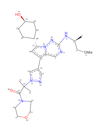 COC[C@H](C)Nc1ncc2c(-c3cnn(C(C)(C)C(=O)N4CCOCC4)c3)cc([C@H]3CC[C@H](O)CC3)n2n1